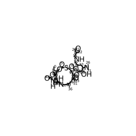 CC[C@H]1OC(=O)SC(=O)[C@H](C)[C@@H](O[C@@H]2OC(CNCC3COC3)CC(N(C)C)C2O)[C@](C)(OC)C[C@@H](C)CN[C@H](C)[C@H]2NC(=O)O[C@@]21C